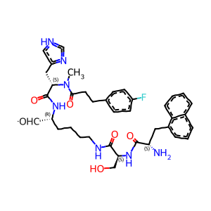 CN(C(=O)CCc1ccc(F)cc1)[C@@H](Cc1c[nH]cn1)C(=O)N[C@@H]([C]=O)CCCCNC(=O)[C@H](CO)NC(=O)[C@@H](N)Cc1cccc2ccccc12